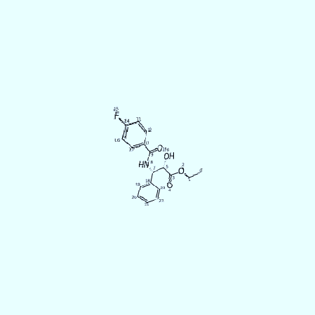 CCOC(=O)[C@@H](O)[C@@H](NC(=O)c1ccc(F)cc1)c1ccccc1